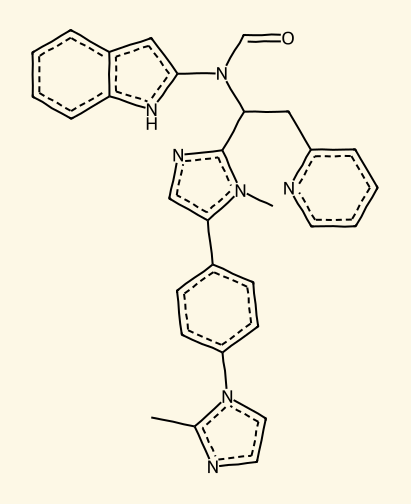 Cc1nccn1-c1ccc(-c2cnc(C(Cc3ccccn3)N(C=O)c3cc4ccccc4[nH]3)n2C)cc1